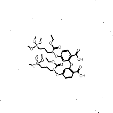 CCOC(=O)N(CCC[Si](OC)(OC)OC)Oc1ccc(C(=O)O)c(Oc2cc(ON(CCC[Si](OC)(OC)OC)C(=O)OCC)ccc2C(=O)O)c1